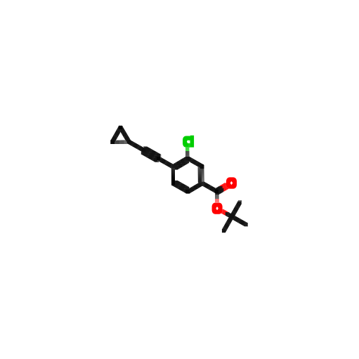 CC(C)(C)OC(=O)c1ccc(C#CC2CC2)c(Cl)c1